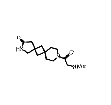 CNCC(=O)N1CCC2(CC1)CC1(CNC(=O)C1)C2